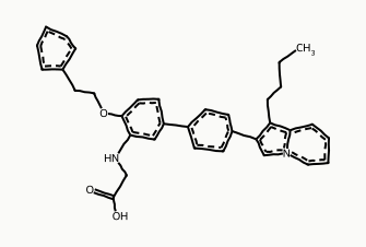 CCCCc1c(-c2ccc(-c3ccc(OCCc4ccccc4)c(NCC(=O)O)c3)cc2)cn2ccccc12